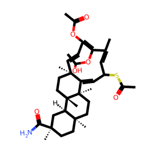 CC(=O)OC1=C(OC(C)O)\C(C)=C\C(SC(C)=O)/C=C2\[C@](C)(\C=C\1)CC[C@@]1(C)[C@@H]3C[C@](C)(C(N)=O)CC[C@]3(C)CC[C@]21C